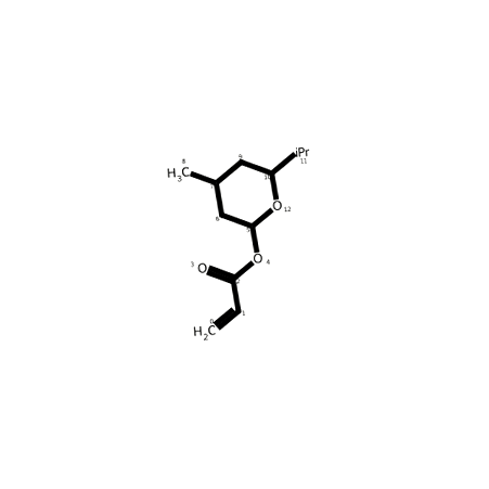 C=CC(=O)OC1CC(C)CC(C(C)C)O1